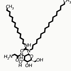 CCCCCCCCCCCCCCCCCCN(C(=O)NCCCCCCCCCCCCCC)[C@@H]1O[C@H](CO)[C@H](O)[C@H](O)[C@H]1NC(=O)CN